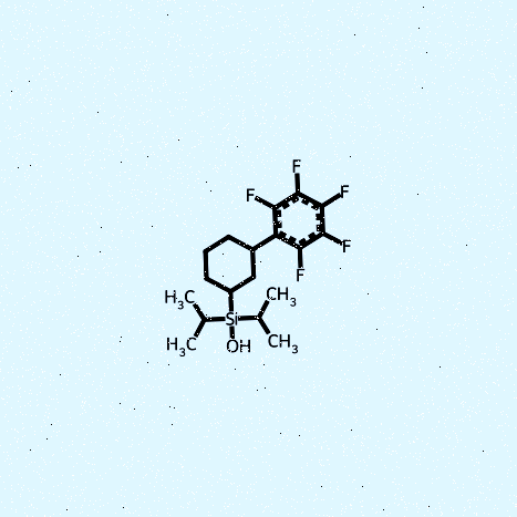 CC(C)[Si](O)(C(C)C)C1CCCC(c2c(F)c(F)c(F)c(F)c2F)C1